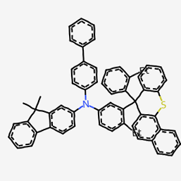 CCc1ccccc1C1(c2cc(N(c3ccc(-c4ccccc4)cc3)c3ccc4c(c3)C(C)(C)c3ccccc3-4)ccc2CC)c2ccccc2Sc2c1ccc1ccccc21